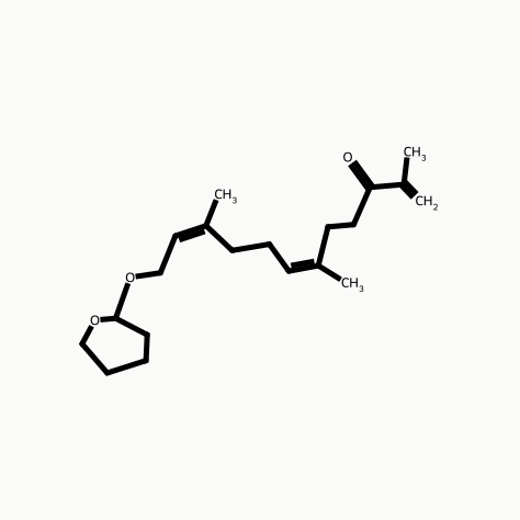 C=C(C)C(=O)CCC(C)=CCCC(C)=CCOC1CCCCO1